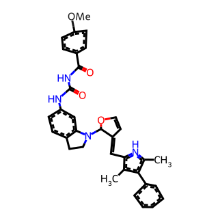 COc1ccc(C(=O)NC(=O)Nc2ccc3c(c2)N(C2OC=CC2=Cc2[nH]c(C)c(-c4ccccc4)c2C)CC3)cc1